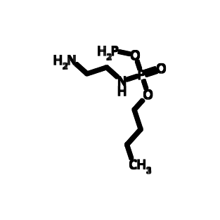 CCCCOP(=O)(NCCN)OP